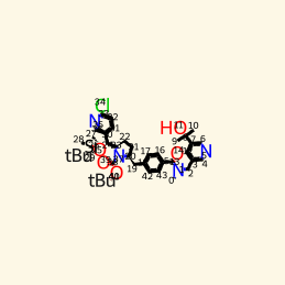 CN(Cc1cncc(C(C)(C)O)c1)C(=O)c1ccc(C[C@@H]2CC[C@H]([C@H](O[Si](C)(C)C(C)(C)C)c3ccc(Cl)nc3)N2C(=O)OC(C)(C)C)cc1